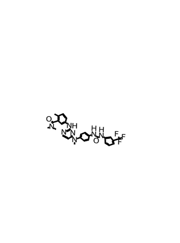 Cc1ccc(Nc2nccc(N(C)c3ccc(NC(=O)Nc4cccc(C(F)(F)F)c4)cc3)n2)cc1C(=O)N(C)C